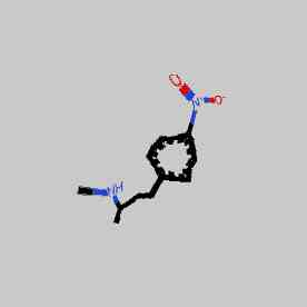 CNC(C)Cc1ccc([N+](=O)[O-])cc1